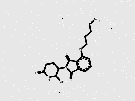 NCCCCNc1cccc2c1C(=O)N(C1CCC(=O)NC1O)C2=O